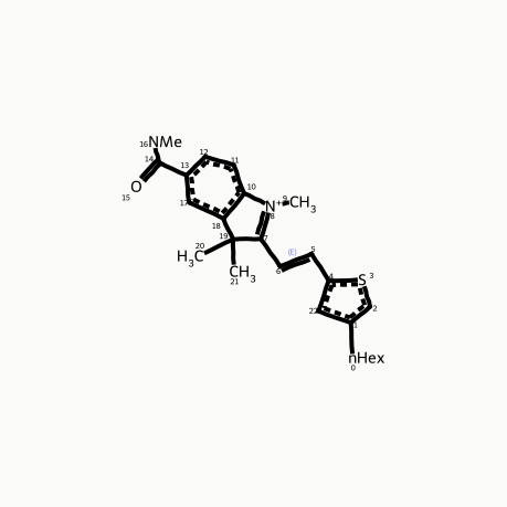 CCCCCCc1csc(/C=C/C2=[N+](C)c3ccc(C(=O)NC)cc3C2(C)C)c1